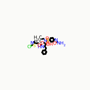 CC(C)CN(CC(O)C(Cc1ccccc1)NC(=O)OCc1cnc(Cl)s1)S(=O)(=O)c1ccc2nc(N)oc2c1